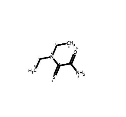 CCN(CC)C(=S)C(N)=O